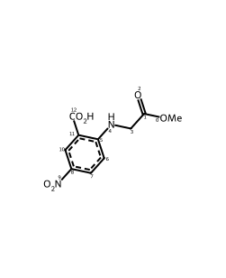 COC(=O)CNc1ccc([N+](=O)[O-])cc1C(=O)O